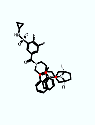 Cc1nc2ccccc2n1C1C[C@H]2CC[C@@H](C1)N2CCC1(c2ccccc2)CCN(C(=O)c2cc(F)c(F)c(S(=O)(=O)NC3CC3)c2)CC1